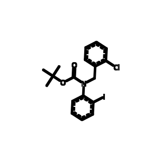 CC(C)(C)OC(=O)N(Cc1ccccc1Cl)c1ccccc1I